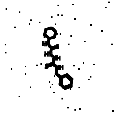 S=C(NCc1ccccc1)NNC(=S)NC1CCCCC1